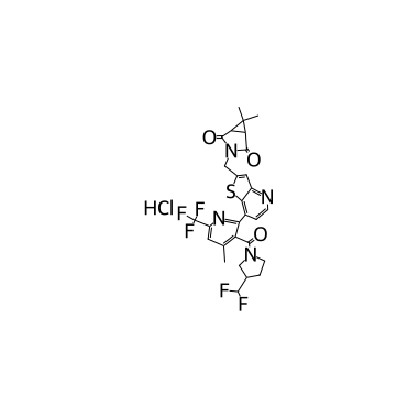 Cc1cc(C(F)(F)F)nc(-c2ccnc3cc(CN4C(=O)C5C(C4=O)C5(C)C)sc23)c1C(=O)N1CCC(C(F)F)C1.Cl